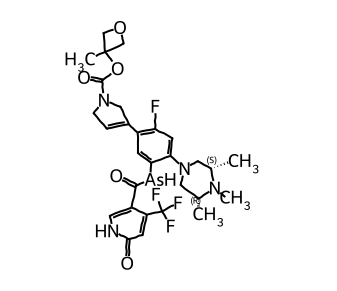 C[C@@H]1CN(c2cc(F)c(C3=CCN(C(=O)OC4(C)COC4)C3)cc2[AsH]C(=O)c2c[nH]c(=O)cc2C(F)(F)F)C[C@H](C)N1C